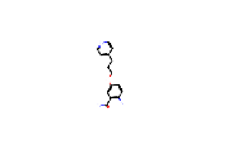 NC(=O)c1cc(OCCCc2ccncc2)ccc1N